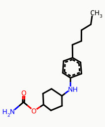 CCCCCc1ccc(NC2CCC(OC(N)=O)CC2)cc1